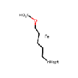 CCCCCCCCCCCCOS(=O)(=O)O.[Fe]